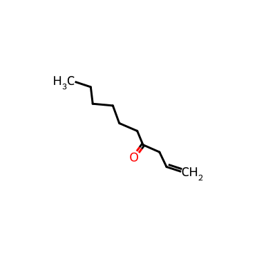 C=CCC(=O)CCCCCC